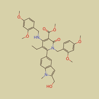 CCc1c(NCc2ccc(OC)cc2OC)c(C(=O)OC)c(=O)n(Cc2ccc(OC)cc2OC)c1-c1ccc2c(c1)cc(CO)n2C